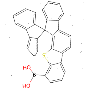 OB(O)c1cccc2c1sc1c3c(ccc12)-c1ccccc1C31c2ccccc2-c2ccccc21